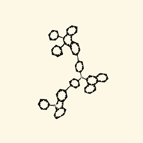 c1ccc(-c2c(-c3ccccc3)c3cc(-c4ccc(N(c5ccc(-c6ccc7c(c6)c6ccccc6n7-c6ccccc6)cc5)c5cc6ccccc6c6ccccc56)cc4)ccc3c3ccccc23)cc1